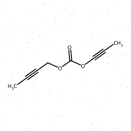 CC#CCOC(=O)OC#CC